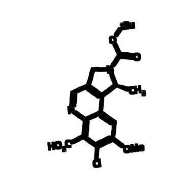 COc1cc2c3c(cnc2c(C(=O)O)c1Cl)CN(C(=O)OC(C)(C)C)[C@H]3C